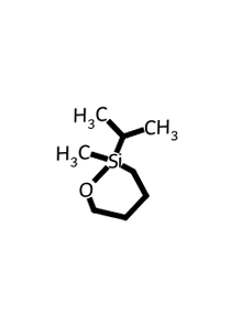 CC(C)[Si]1(C)CCCCO1